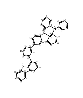 c1ccc(N2c3ccccc3-n3c4ccc(-c5cccc(-c6cccc7c6sc6ccccc67)c5)cc4c4cccc2c43)cc1